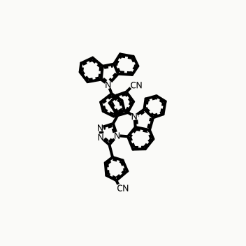 N#Cc1ccc(-c2nnc(-c3ccc(C#N)cc3)n2-c2cccc3c4ccccc4n(-c4cccc(-n5c6ccccc6c6ccccc65)c4)c23)cc1